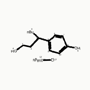 CCCCC(CCO)c1ccc(O)cc1.CCCCCCl